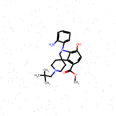 COC(=O)c1ccc(O)c2c1C1(CCN(CC(C)(C)C)CC1)CN2c1ccccc1N